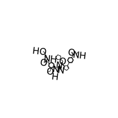 CNC(=O)c1ccc(C2=CCc3nc(Nc4ccc(C(=O)NCCO)cc4OC)nc(OC4CCCC4)c32)cc1